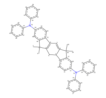 CC1(C)C2=C(C=C3C(C2)c2ccc(N(c4ccccc4)c4ccccc4)cc2C3(C)C)c2ccc(N(c3ccccc3)c3ccccc3)cc21